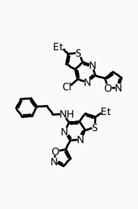 CCc1cc2c(Cl)nc(-c3ccno3)nc2s1.CCc1cc2c(NCCc3ccccc3)nc(-c3ccno3)nc2s1